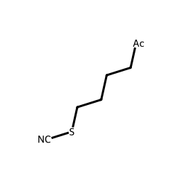 CC(=O)CCCCSC#N